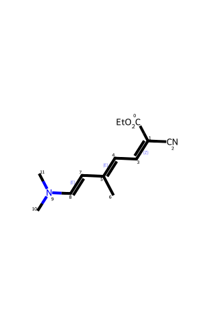 CCOC(=O)\C(C#N)=C/C=C(C)/C=C/N(C)C